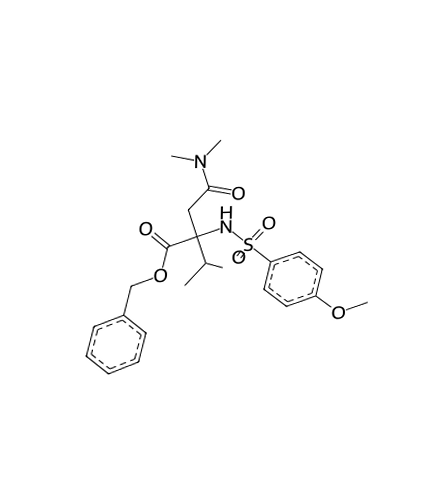 COc1ccc(S(=O)(=O)NC(CC(=O)N(C)C)(C(=O)OCc2ccccc2)C(C)C)cc1